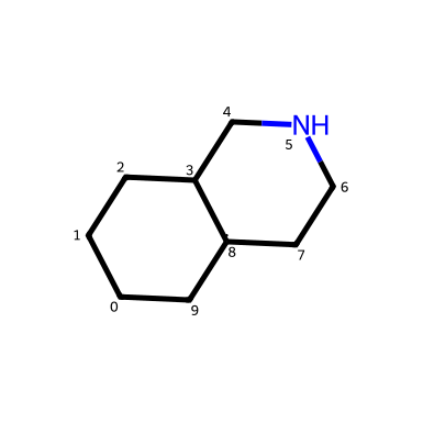 C1CCC2CNCC[C]2C1